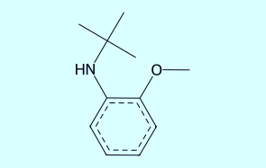 COc1ccccc1NC(C)(C)C